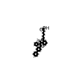 [2H]C(c1ccccc1OCCCCCC(=O)O)N(C(=O)c1ccc(-c2ccccc2)cc1)C1CCCC1